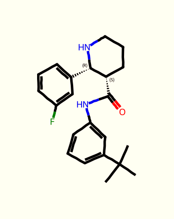 CC(C)(C)c1cccc(NC(=O)[C@H]2CCCN[C@H]2c2cccc(F)c2)c1